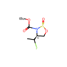 CC(F)[C@@H]1COS(=O)N1C(=O)OC(C)(C)C